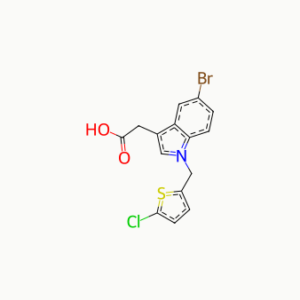 O=C(O)Cc1cn(Cc2ccc(Cl)s2)c2ccc(Br)cc12